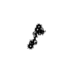 COC(CCCCC(=O)Nc1ccc2ccccc2c1S(=O)(=O)OC)(Cc1ccccc1)C(C)=O